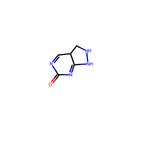 O=C1N=CC2CNNC2=N1